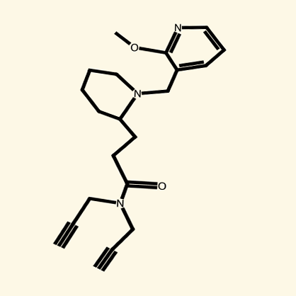 C#CCN(CC#C)C(=O)CCC1CCCCN1Cc1cccnc1OC